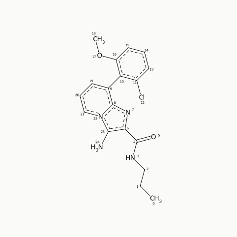 CCCNC(=O)c1nc2c(-c3c(Cl)cccc3OC)cccn2c1N